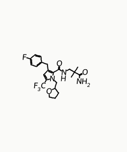 CC(C)(CNC(=O)c1c(Cc2ccc(F)cc2)cc(C(F)(F)F)n1CC1CCCO1)C(N)=O